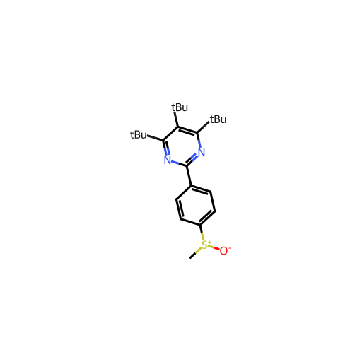 C[S+]([O-])c1ccc(-c2nc(C(C)(C)C)c(C(C)(C)C)c(C(C)(C)C)n2)cc1